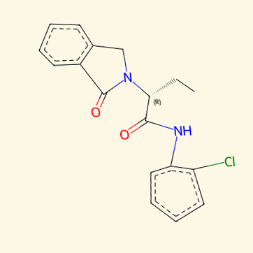 CC[C@H](C(=O)Nc1ccccc1Cl)N1Cc2ccccc2C1=O